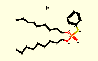 CCCCCCCCCOP(=O)(OCCCCCCCCC)Sc1ccccc1.[Zn]